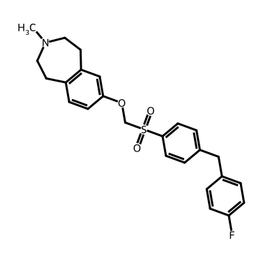 CN1CCc2ccc(OCS(=O)(=O)c3ccc(Cc4ccc(F)cc4)cc3)cc2CC1